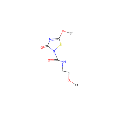 CCOCCNC(=O)n1sc(OCC)nc1=O